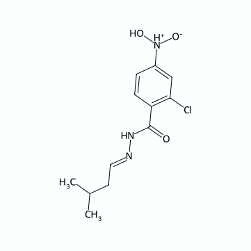 CC(C)C/C=N/NC(=O)c1ccc([NH+]([O-])O)cc1Cl